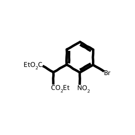 CCOC(=O)C(C(=O)OCC)c1cccc(Br)c1[N+](=O)[O-]